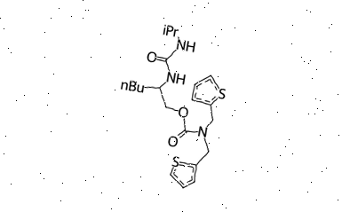 CCCCC(COC(=O)N(Cc1cccs1)Cc1cccs1)NC(=O)NC(C)C